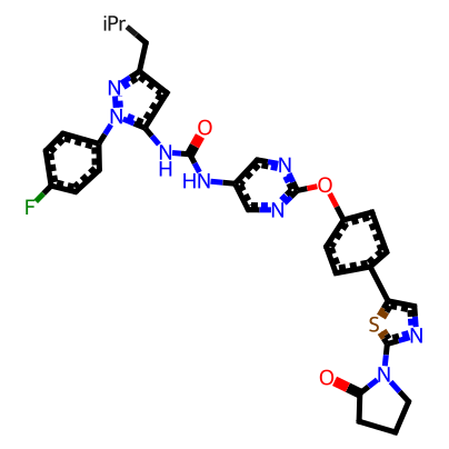 CC(C)Cc1cc(NC(=O)Nc2cnc(Oc3ccc(-c4cnc(N5CCCC5=O)s4)cc3)nc2)n(-c2ccc(F)cc2)n1